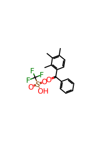 Cc1ccc(C(=O)c2ccccc2)c(C)c1C.O=S(=O)(O)C(F)(F)F